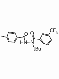 Cc1ccc(C(=O)NN(C(=O)c2cccc(C(F)(F)F)c2)C(C)(C)C)cc1